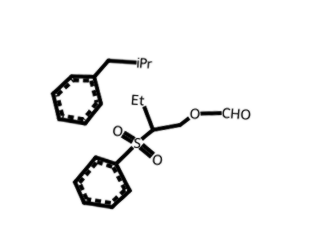 CC(C)Cc1ccccc1.CCC(COC=O)S(=O)(=O)c1ccccc1